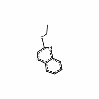 CCOc1cnc2ccccc2n1